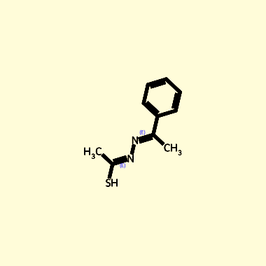 C/C(S)=N\N=C(/C)c1ccccc1